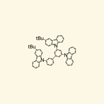 CC(C)(C)c1ccc2c(c1)c1ccccc1n2-c1cccc(-c2cc(-n3c4ccccc4c4ccccc43)cc(-n3c4ccccc4c4cc(C(C)(C)C)ccc43)c2)c1